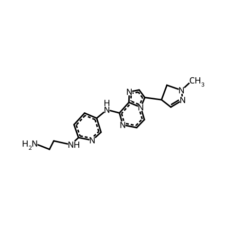 CN1CC(c2cnc3c(Nc4ccc(NCCN)nc4)nccn23)C=N1